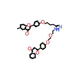 Cc1ccc2oc(-c3ccc(OCCCCc4cnnn4CCOCCOc4ccc(-c5cc(=O)c6ccccc6o5)cc4)cc3)cc(=O)c2c1